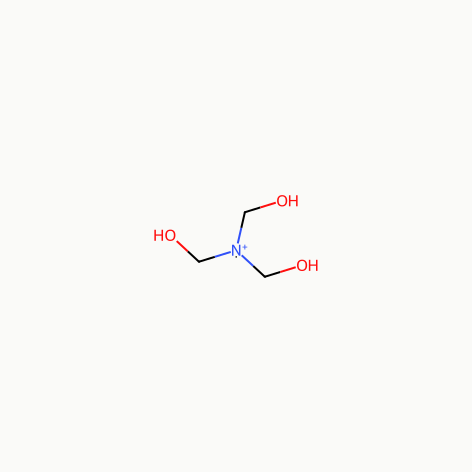 OC[N+](CO)CO